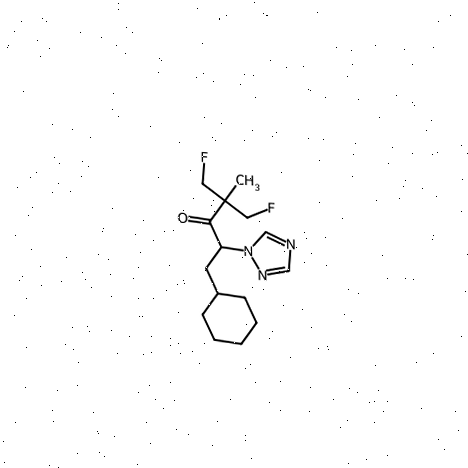 CC(CF)(CF)C(=O)C(CC1CCCCC1)n1cncn1